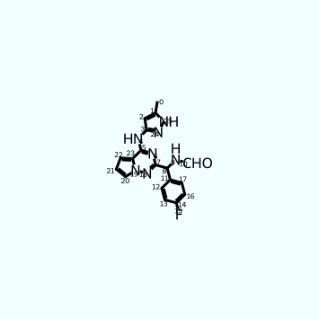 Cc1cc(Nc2nc(C(NC=O)c3ccc(F)cc3)nn3cccc23)n[nH]1